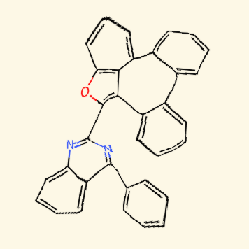 c1ccc(-c2nc(-c3oc4cccc5c4c3-c3ccccc3-c3ccccc3-5)nc3ccccc23)cc1